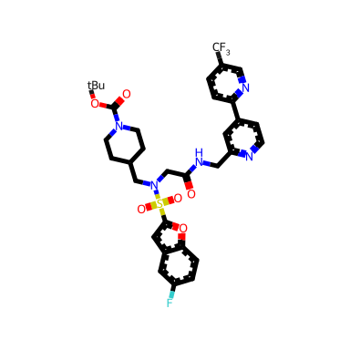 CC(C)(C)OC(=O)N1CCC(CN(CC(=O)NCc2cc(-c3ccc(C(F)(F)F)cn3)ccn2)S(=O)(=O)c2cc3cc(F)ccc3o2)CC1